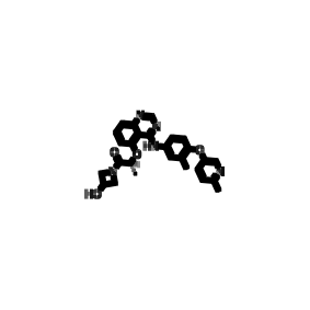 Cc1ccc(Oc2ccc(Nc3ncnc4cccc(O[C@H](C)C(=O)N5CC(O)C5)c34)cc2C)cn1